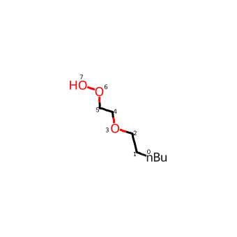 CCCCCCOCCOO